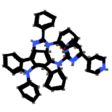 c1ccc(-c2nc3c4c5ccccc5n(-c5ccccc5)c4c4c5ccccc5n(-c5nccc(-c6ccncc6)n5)c4c3n2-c2ccccc2)cc1